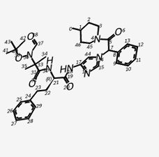 CC1CCN(C(=O)C(c2ccccc2)n2cnc(NC(=O)[C@@H](CCc3ccccc3)NC(=O)C(C)(C)N(C=O)OC(C)(C)C)c2)CC1